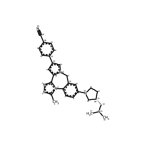 Cc1nnc2n1-c1ccc(N3CC[C@H](CN(C)C)C3)cc1Cn1cc(-c3ccc(C#N)cc3)cc1-2